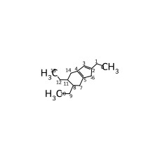 CCC1=CC2=C([CH]1)CC(CC)C(CC)C2